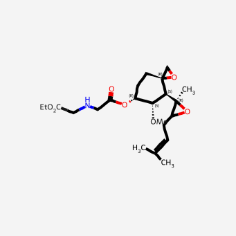 CCOC(=O)CNCC(=O)O[C@@H]1CC[C@]2(CO2)[C@@H]([C@@]2(C)OC2CC=C(C)C)[C@@H]1OC